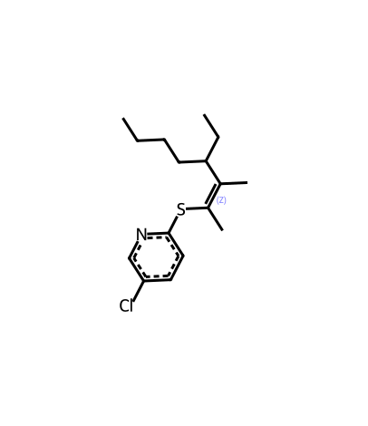 CCCCC(CC)/C(C)=C(/C)Sc1ccc(Cl)cn1